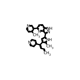 C=C/C=C(/c1ccncc1)c1cc(-c2n[nH]c3ccc(-c4cnccc4C)nc23)[nH]c1C